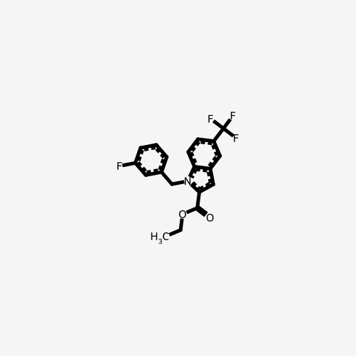 CCOC(=O)c1cc2cc(C(F)(F)F)ccc2n1Cc1cccc(F)c1